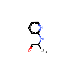 CC([C]=O)Nc1ccccn1